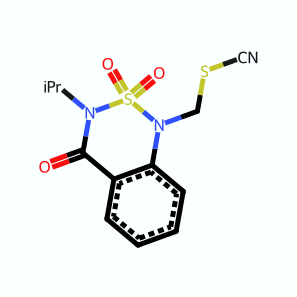 CC(C)N1C(=O)c2ccccc2N(CSC#N)S1(=O)=O